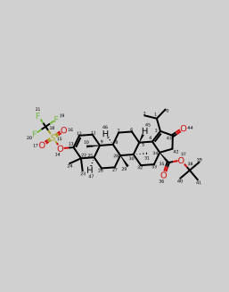 CC(C)C1=C2[C@H]3CC[C@@H]4[C@@]5(C)CC=C(OS(=O)(=O)C(F)(F)F)C(C)(C)[C@@H]5CC[C@@]4(C)[C@]3(C)CC[C@@]2(C(=O)OC(C)(C)C)CC1=O